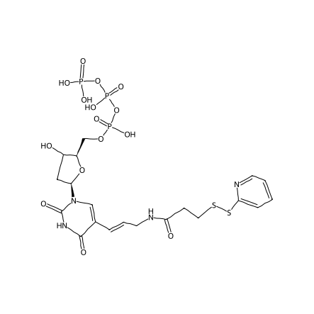 O=C(CCSSc1ccccn1)NC/C=C/c1cn([C@H]2CC(O)[C@@H](COP(=O)(O)OP(=O)(O)OP(=O)(O)O)O2)c(=O)[nH]c1=O